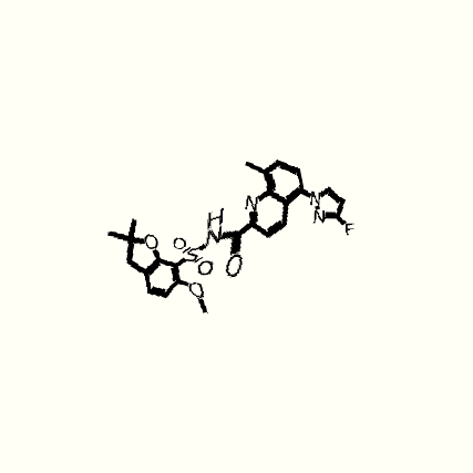 COc1ccc2c(c1S(=O)(=O)NC(=O)c1ccc3c(-n4ccc(F)n4)ccc(C)c3n1)OC(C)(C)C2